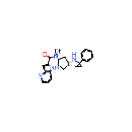 CCN(C(=O)c1cc2ncccc2[nH]1)C1CCC[C@@H](NC2(c3ccccc3)CC2)C1